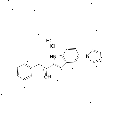 Cl.Cl.O[C@@H](Cc1ccccc1)c1nc2cc(-n3ccnc3)ccc2[nH]1